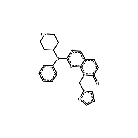 O=c1ccc2cnc(N(c3ccccc3)C3CCNCC3)nc2n1Cc1ccco1